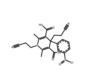 CC1=C(C(=O)O)C(CCC#N)(c2cccc([N+](=O)[O-])c2)C(C(=O)O)=C(C)N1CCC#N